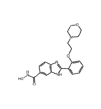 O=C(NO)c1ccc2nc(-c3ccccc3OCCN3CCOCC3)[nH]c2c1